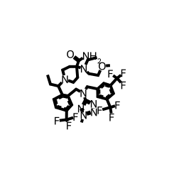 CCC(c1ccc(C(F)(F)F)cc1CN(Cc1cc(C(F)(F)F)cc(C(F)(F)F)c1)c1nnn(C)n1)N1CCC(C(N)=O)(N(CC)CCOC)CC1